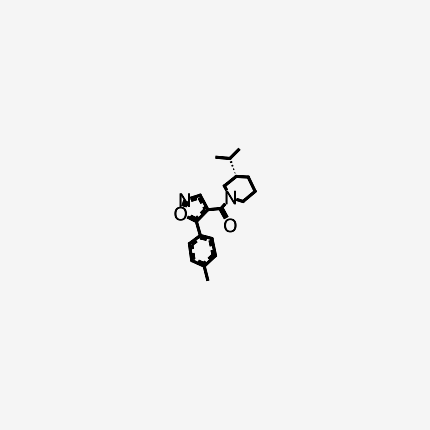 Cc1ccc(-c2oncc2C(=O)N2CCC[C@@H](C(C)C)C2)cc1